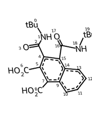 CC(C)(C)NC(=O)c1c(C(=O)O)c(C(=O)O)c2ccccc2c1C(=O)NC(C)(C)C